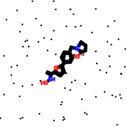 C=C(NO)c1ccc(-c2ccc(CN3CCC[C@H]3O)cc2)o1